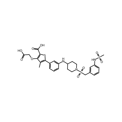 Cc1c(-c2cccc(NC3CCN(S(=O)(=O)Cc4cccc(NS(C)(=O)=O)c4)CC3)c2)sc(C(=O)O)c1OCC(=O)O